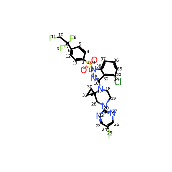 O=S(=O)(c1ccc(C(F)(F)CF)cc1)n1nc(N2CCN(c3ncc(F)cn3)CC23CC3)c2c(Cl)cccc21